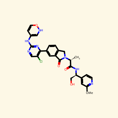 COc1cc([C@@H](CO)NC(=O)[C@@H](C)N2Cc3ccc(-c4nc(NC5=CNOC=C5)ncc4Cl)cc3C2=O)ccn1